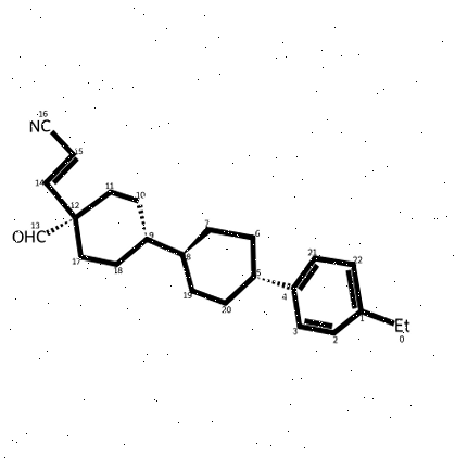 CCc1ccc([C@H]2CC[C@H]([C@H]3CC[C@](C=O)(C=CC#N)CC3)CC2)cc1